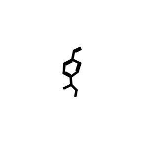 C=Cc1ccc(C(C)CC)cc1